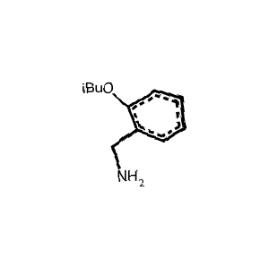 CC(C)COc1ccccc1CN